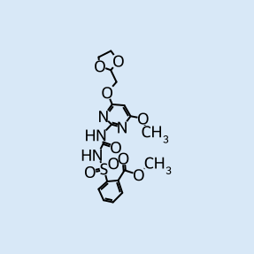 COC(=O)c1ccccc1S(=O)(=O)NC(=O)Nc1nc(OC)cc(OCC2OCCO2)n1